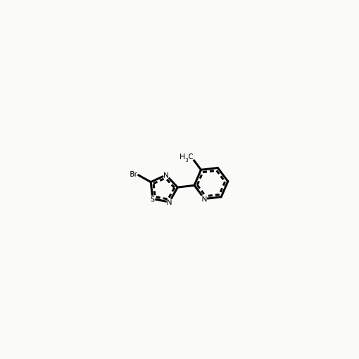 Cc1cccnc1-c1nsc(Br)n1